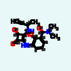 C#CC(C)Nc1c(Nc2cccc(C(=O)N(C)C)c2O)c(=O)c1=O